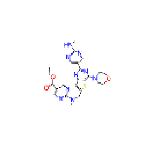 CCOC(=O)c1cnc(N(C)Cc2cc3nc(-c4cnc(NC)nc4)nc(N4CCOCC4)c3s2)nc1